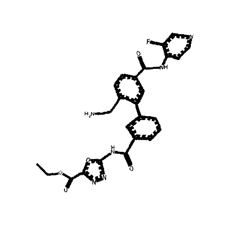 CCOC(=O)c1nnc(NC(=O)c2cccc(-c3cc(C(=O)Nc4ccncc4F)ccc3CN)c2)o1